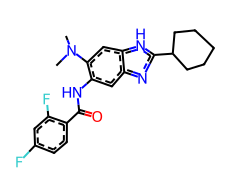 CN(C)c1cc2[nH]c(C3CCCCC3)nc2cc1NC(=O)c1ccc(F)cc1F